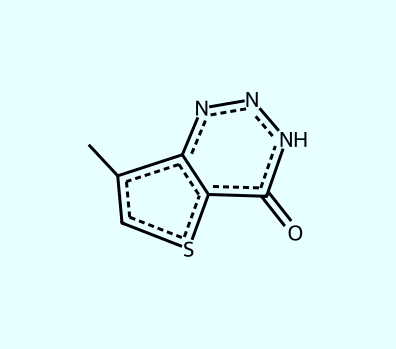 Cc1csc2c(=O)[nH]nnc12